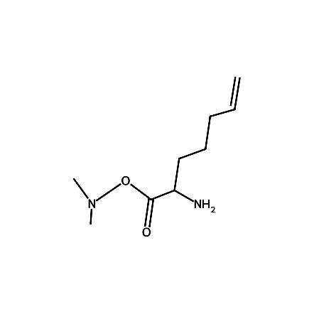 C=CCCCC(N)C(=O)ON(C)C